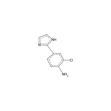 Nc1ccc(-c2ncc[nH]2)cc1Cl